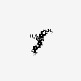 CN1CCc2cc(N(C)C)c(S(=O)(=O)c3ccc(Cc4cccc(C(F)(F)F)c4)cc3)cc2CC1